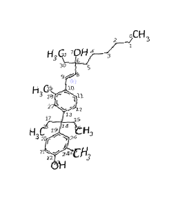 CCCCCCC(O)(/C=C/c1ccc(C(CC)(CC)c2ccc(O)c(C)c2)cc1C)CC